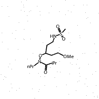 [CH2]CCN(OC(CCNS(C)(=O)=O)CCOC)C(=O)C(C)C